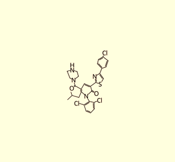 CC(C)Cc1c(C(=O)N2CCNCC2)cc(-c2nc(-c3ccc(Cl)cc3)cs2)c(=O)n1-c1c(Cl)cccc1Cl